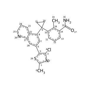 Cc1nc(Cl)c(-c2cc(C3(c4cccc(C(N)=O)c4C)CC3)c3cccnc3c2)s1